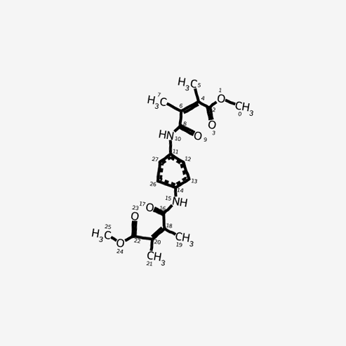 COC(=O)/C(C)=C(/C)C(=O)Nc1ccc(NC(=O)/C(C)=C(/C)C(=O)OC)cc1